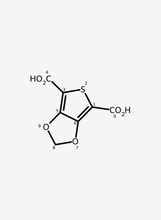 O=C(O)c1sc(C(=O)O)c2c1OCO2